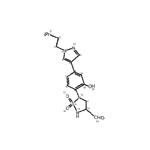 CC(C)CCn1cc(-c2ccc(N3CC(C=O)NS3(=O)=O)c(O)c2)cn1